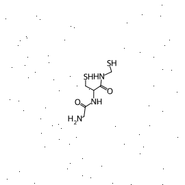 NCC(=O)NC(CS)C(=O)NCS